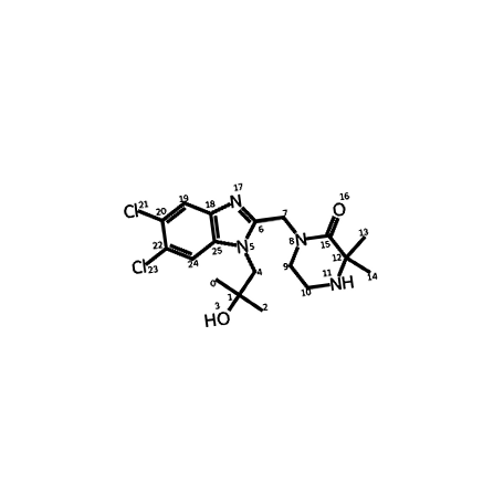 CC(C)(O)Cn1c(CN2CCNC(C)(C)C2=O)nc2cc(Cl)c(Cl)cc21